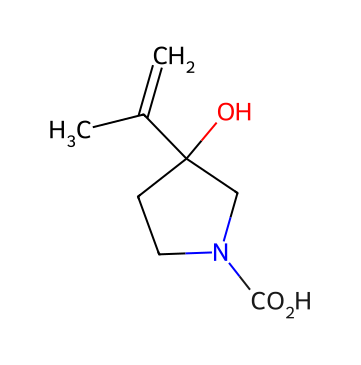 C=C(C)C1(O)CCN(C(=O)O)C1